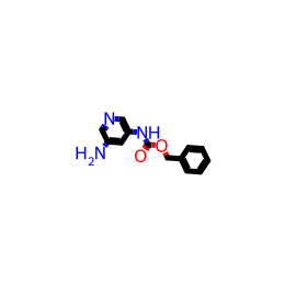 Nc1cncc(NC(=O)OCc2ccccc2)c1